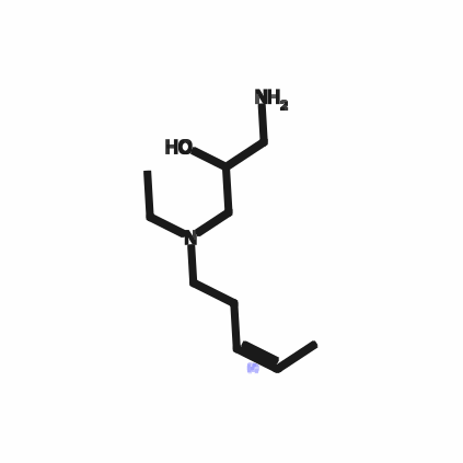 C/C=C\CCN(CC)CC(O)CN